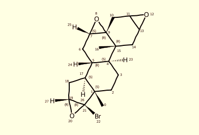 C[C@]12CC[C@H]3[C@@H](C[C@@H]4O[C@@]45CC4OC4C[C@]35C)[C@@H]1C[C@H]1O[C@]12Br